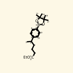 CCOC(=O)CCCC(C)c1ccc(B2OC(C)(C)C(C)(C)O2)cc1